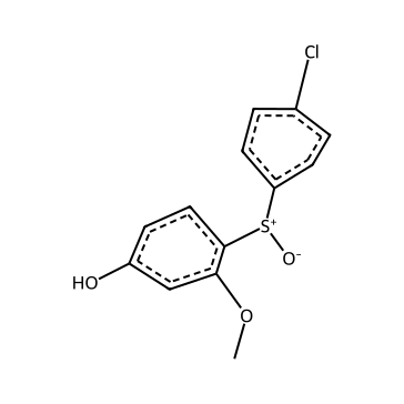 COc1cc(O)ccc1[S+]([O-])c1ccc(Cl)cc1